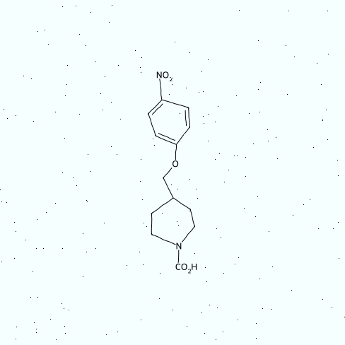 O=C(O)N1CCC(COc2ccc([N+](=O)[O-])cc2)CC1